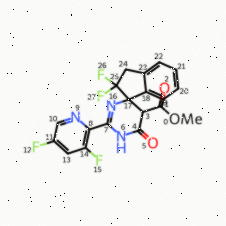 COC(=O)C1C(=O)NC(c2ncc(F)cc2F)=NC12c1ccccc1CC2(F)F